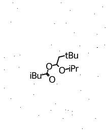 CCC(C)C(=O)OC(CC(C)(C)C)OC(C)C